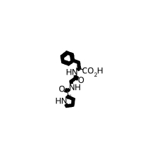 O=C(CNC(=O)[C@@H]1CCCN1)N[C@H](Cc1ccccc1)C(=O)O